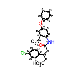 O=C(O)CC(CC(=O)Nc1ccc(Oc2ccccc2)cc1[N+](=O)[O-])c1ccc(Cl)cc1